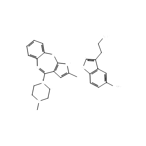 COc1ccc2[nH]cc(CCNC(C)=O)c2c1.Cc1cc2c(s1)Nc1ccccc1N=C2N1CCN(C)CC1